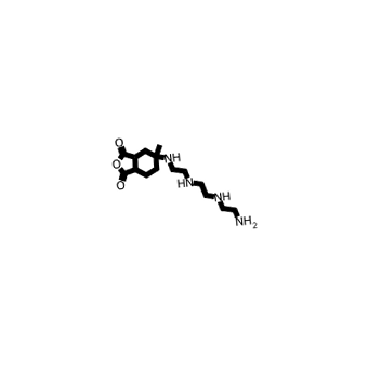 CC1(NCCNCCNCCN)CCC2C(=O)OC(=O)C2C1